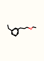 CCOCCCc1cccc(CC)c1